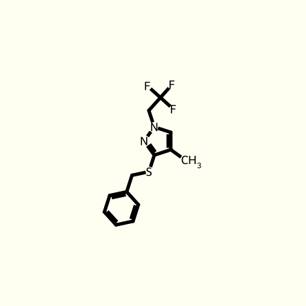 Cc1cn(CC(F)(F)F)nc1SCc1ccccc1